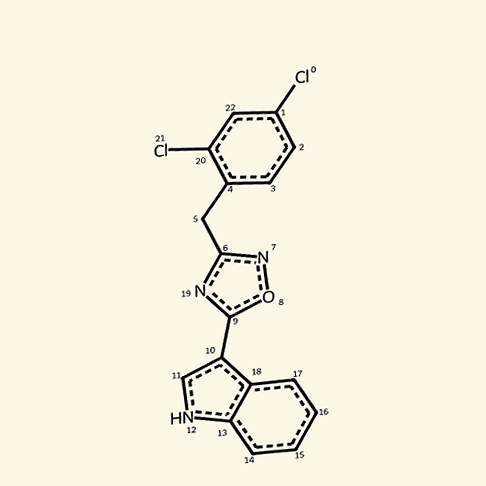 Clc1ccc(Cc2noc(-c3c[nH]c4ccccc34)n2)c(Cl)c1